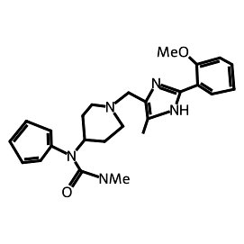 CNC(=O)N(c1ccccc1)C1CCN(Cc2nc(-c3ccccc3OC)[nH]c2C)CC1